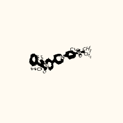 CC(C)S(=O)(=O)c1ccc(N2CCC(C3CCN(C(=O)C(O)(c4ccccc4)C(F)(F)F)CC3)CC2)cc1Cl